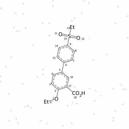 CCOc1ccc(-c2ccc(S(=O)(=O)CC)cc2)cc1C(=O)O